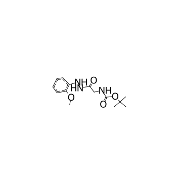 COc1ccccc1NNC(=O)CNC(=O)OC(C)(C)C